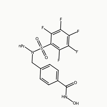 CCCN(Cc1ccc(C(=O)NO)cc1)S(=O)(=O)c1c(F)c(F)c(F)c(F)c1F